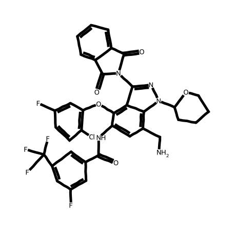 NCc1cc(NC(=O)c2cc(F)cc(C(F)(F)F)c2)c(Oc2cc(F)ccc2Cl)c2c(N3C(=O)c4ccccc4C3=O)nn(C3CCCCO3)c12